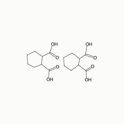 O=C(O)C1CCCCC1C(=O)O.O=C(O)C1CCCCC1C(=O)O